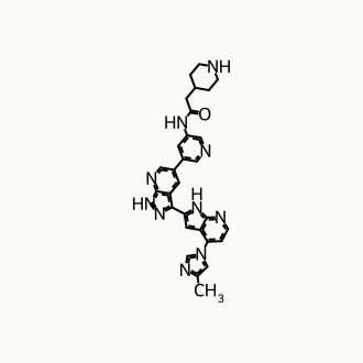 Cc1cn(-c2ccnc3[nH]c(-c4n[nH]c5ncc(-c6cncc(NC(=O)CC7CCNCC7)c6)cc45)cc23)cn1